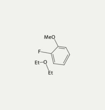 CCOCC.COc1ccccc1F